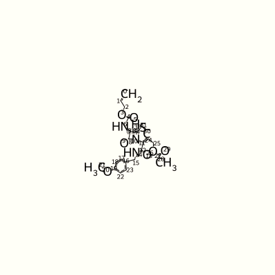 C=CCOC(=O)N[C@@H]1C(=O)N2C(C(=O)NCc3ccc(OC)cc3)=C(COC(C)=O)CS[C@H]12